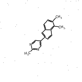 Cc1ncc(-c2ccc3c(C)c(C)ccc3c2)cn1